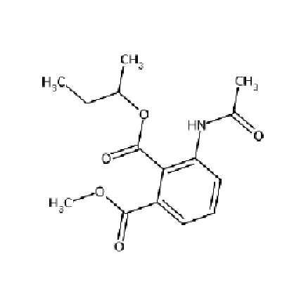 CCC(C)OC(=O)c1c(NC(C)=O)cccc1C(=O)OC